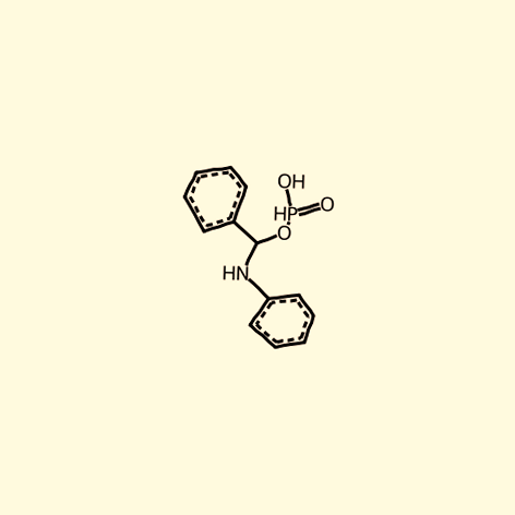 O=[PH](O)OC(Nc1ccccc1)c1ccccc1